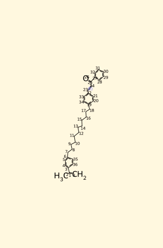 C=C(C)c1ccc(CCCCCCCCCCCCc2ccc(/C=C/C(=O)c3ccccc3)cc2)cc1